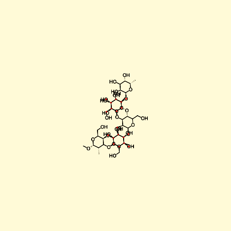 CO[C@@H]1OC(CO)[C@@H](O[C@@H]2OC(CO)[C@H](O)C(O[C@@H]3OC(CO)[C@@H](O[C@@H]4OC(CO)[C@H](O)C(O)C4O[C@@H]4O[C@@H](C)[C@@H](O)C(O)C4O)C(O[C@@H]4OC(C)[C@@H](O)[C@H](O)C4O)[C@@H]3C)C2O)C(O[C@@H]2OC(C)[C@@H](O)[C@H](O)C2O)[C@@H]1C